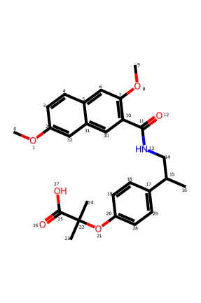 COc1ccc2cc(OC)c(C(=O)NCC(C)c3ccc(OC(C)(C)C(=O)O)cc3)cc2c1